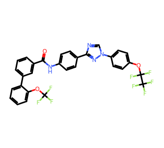 O=C(Nc1ccc(-c2ncn(-c3ccc(OC(F)(F)C(F)(F)F)cc3)n2)cc1)c1cccc(-c2ccccc2OC(F)(F)F)c1